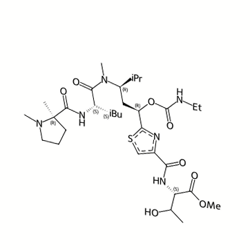 CCNC(=O)O[C@H](C[C@H](C(C)C)N(C)C(=O)[C@@H](NC(=O)[C@@]1(C)CCCN1C)[C@@H](C)CC)c1nc(C(=O)N[C@H](C(=O)OC)C(C)O)cs1